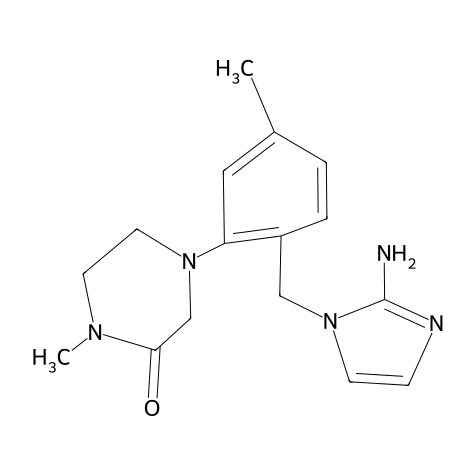 Cc1ccc(Cn2ccnc2N)c(N2CCN(C)C(=O)C2)c1